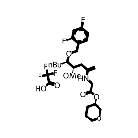 C=C(C[C@H](OC)[C@@H](CCCC)OCc1ccc(F)cc1F)NCC(=O)O[C@@H]1CCCOC1.O=C(O)C(F)(F)F